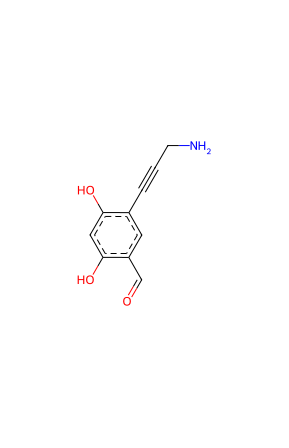 NCC#Cc1cc(C=O)c(O)cc1O